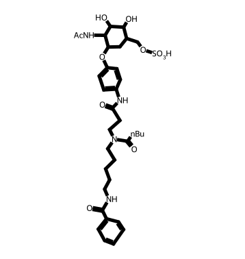 CCCCC(=O)N(CCCCCNC(=O)c1ccccc1)CCC(=O)Nc1ccc(OC2CC(COS(=O)(=O)O)C(O)C(O)C2NC(C)=O)cc1